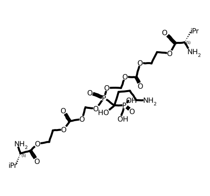 CC(C)[C@H](N)C(=O)OCCOC(=O)OCOP(=O)(OCOC(=O)OCCOC(=O)[C@@H](N)C(C)C)C(O)(CCCN)P(=O)(O)O